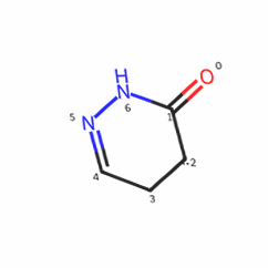 O=C1[C]CC=NN1